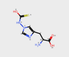 N[C@@H](Cc1cn(NC(O)=S)cn1)C(=O)O